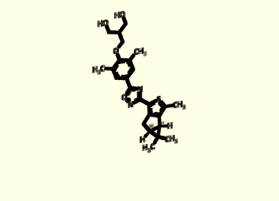 Cc1cc(-c2nc(-c3sc(C)c4c3C[C@@H]3[C@H]4C3(C)C)no2)cc(C)c1OCC(CO)CO